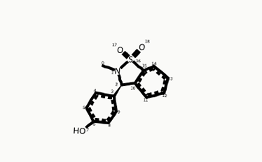 CN1[C@H](c2ccc(O)cc2)c2ccccc2S1(=O)=O